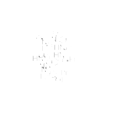 CCNC(=O)c1nnc(-c2cc(C(C)C)c(O)cc2O)n1-c1ccc(C(=O)N[C@@H](CC(C)C)C(=O)Nc2cccc3c2CN(C2CCC(=O)NC2=O)C3=O)cc1